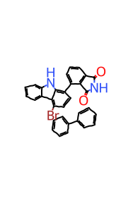 O=C1NC(=O)c2c1cccc2-c1ccc(Br)c2c1[nH]c1ccccc12.c1ccc(-c2ccccc2)cc1